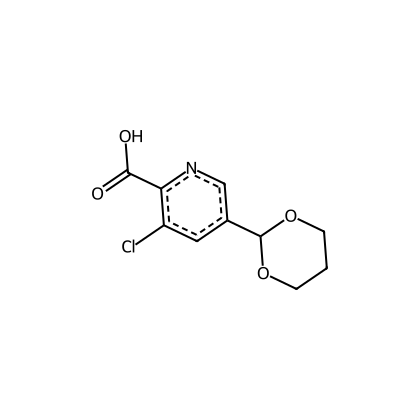 O=C(O)c1ncc(C2OCCCO2)cc1Cl